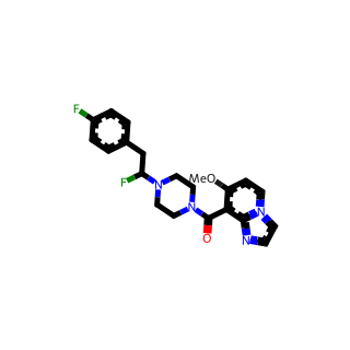 COc1ccn2ccnc2c1C(=O)N1CCN(C(F)Cc2ccc(F)cc2)CC1